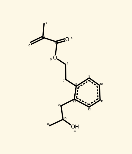 C=C(C)C(=O)OCCc1ccccc1CC(C)O